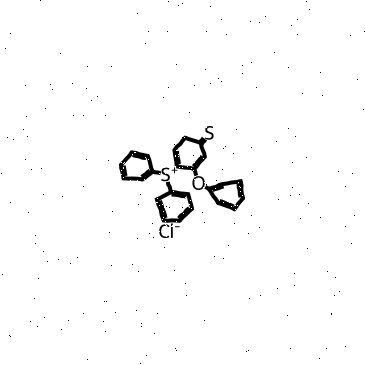 S=C1C=C(Oc2ccccc2)C([S+](c2ccccc2)c2ccccc2)=CC1.[Cl-]